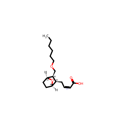 CCCCCCOC[C@H]1[C@@H](C/C=C\C(=O)O)[C@H]2CC[C@@H]1O2